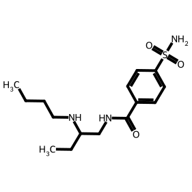 CCCCNC(CC)CNC(=O)c1ccc(S(N)(=O)=O)cc1